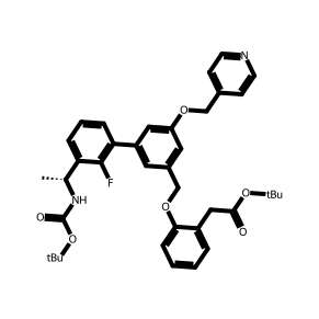 C[C@@H](NC(=O)OC(C)(C)C)c1cccc(-c2cc(COc3ccccc3CC(=O)OC(C)(C)C)cc(OCc3ccncc3)c2)c1F